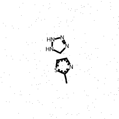 C1N=NNN1.Cc1nccs1